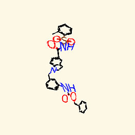 Cc1ccccc1S(=O)(=O)NC(=O)c1ccc2c(ccn2Cc2cccc(NC(=O)OCc3ccccc3)c2)c1